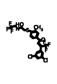 Cc1cc(C(=O)C=C(c2cc(Cl)cc(Cl)c2)C(F)(F)F)ccc1SCC(=O)NCC(F)(F)F